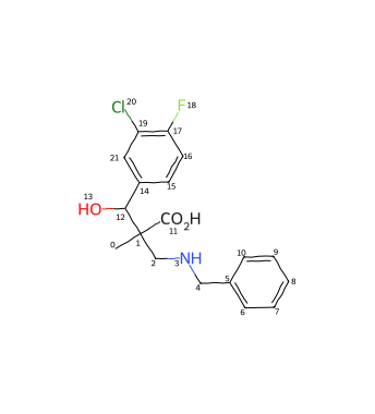 CC(CNCc1ccccc1)(C(=O)O)C(O)c1ccc(F)c(Cl)c1